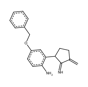 C=C1CCC(c2cc(OCc3ccccc3)ccc2N)C1=N